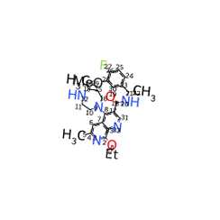 CCOc1nc(C)cc2c(N3CCN[C@@H](C)CC3)c(C(=O)N[C@@H](C)c3ccc(F)c(OC)c3)cnc12